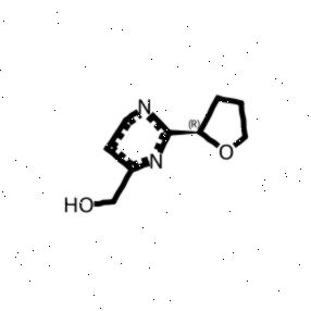 OCc1ccnc([C@H]2CCCO2)n1